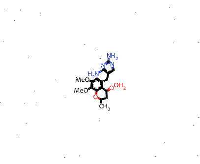 COc1cc(Cc2cnc(N)nc2N)c2c(c1OC)OC(C)CC2=O.O